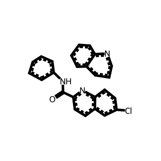 O=C(Nc1ccccc1)c1ccc2cc(Cl)ccc2n1.c1ccc2ncccc2c1